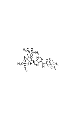 CN(C[C@H]1O[C@@H](n2cnc3c(NC(=O)OC(C)(C)C)ncnc32)[C@@H]2OC(C)(C)O[C@@H]21)S(N)(=O)=O